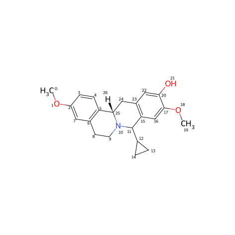 COc1ccc2c(c1)CCN1C(C3CC3)c3cc(OC)c(O)cc3C[C@@H]21